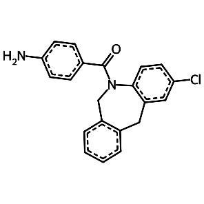 Nc1ccc(C(=O)N2Cc3ccccc3Cc3cc(Cl)ccc32)cc1